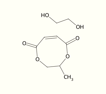 CC1COC(=O)/C=C\C(=O)O1.OCCO